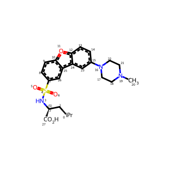 CC(C)C[C@H](NS(=O)(=O)c1ccc2oc3ccc(N4CCN(C)CC4)cc3c2c1)C(=O)O